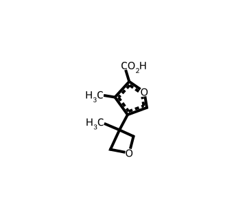 Cc1c(C2(C)COC2)coc1C(=O)O